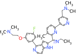 CC/N=C(/c1cc2c(-c3cc(F)cc(OCCN(C)C)c3)nccc2[nH]1)c1nc(-c2cncc(CN(C)C)c2)ccc1C